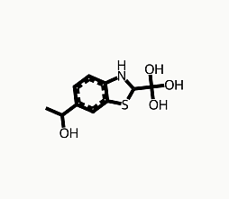 CC(O)c1ccc2c(c1)SC(C(O)(O)O)N2